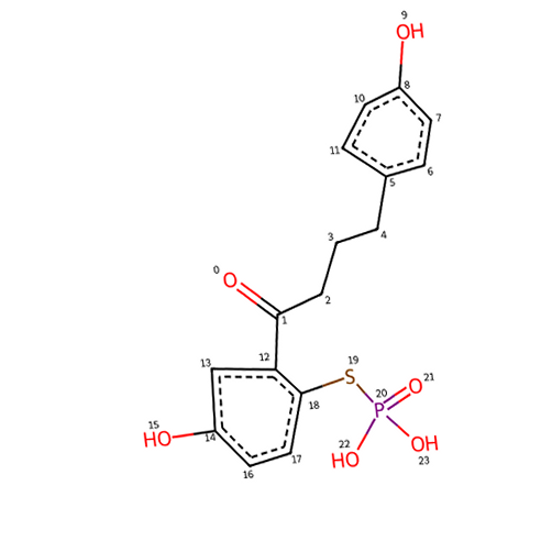 O=C(CCCc1ccc(O)cc1)c1cc(O)ccc1SP(=O)(O)O